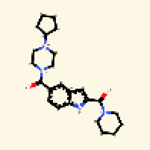 O=C(c1ccc2[nH]c(C(=O)N3CCCCC3)cc2c1)N1CCN(C2CCCC2)CC1